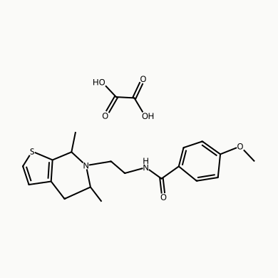 COc1ccc(C(=O)NCCN2C(C)Cc3ccsc3C2C)cc1.O=C(O)C(=O)O